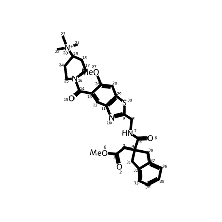 COC(=O)CC1(C(=O)NCc2nc3cc(C(=O)N4CCC([N+](C)(C)C)CC4)c(OC)cc3s2)Cc2ccccc2C1